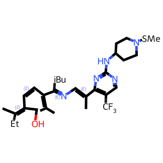 CC/C(C)=C(/C=C\C(=C(C)C)/C(=N/C=C(\C)c1nc(NC2CCN(SC)CC2)ncc1C(F)(F)F)C(C)CC)CO